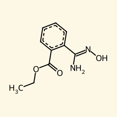 CCOC(=O)c1ccccc1C(N)=NO